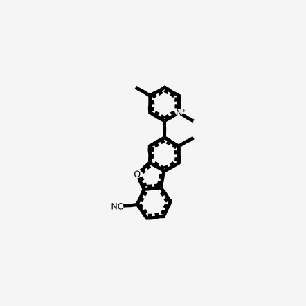 Cc1cc[n+](C)c(-c2cc3oc4c(C#N)cccc4c3cc2C)c1